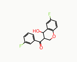 O=C(c1cccc(F)c1)C1COc2ccc(F)cc2C1O